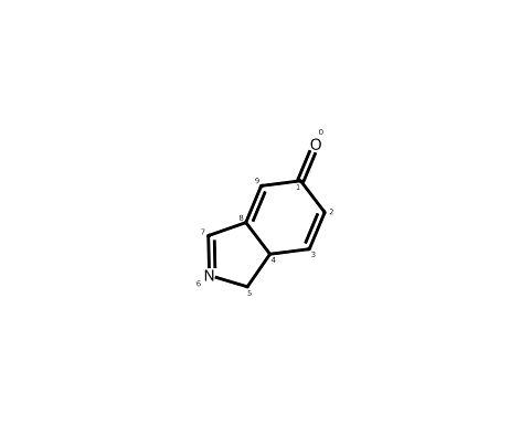 O=C1C=CC2CN=CC2=C1